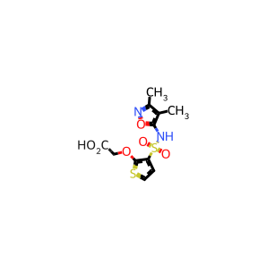 Cc1noc(NS(=O)(=O)c2ccsc2OCC(=O)O)c1C